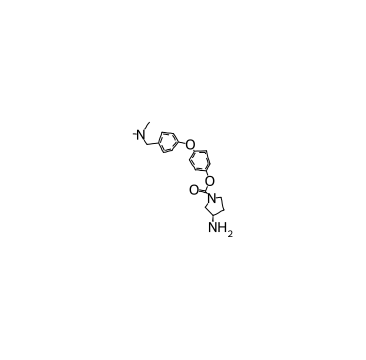 CN(C)Cc1ccc(Oc2ccc(OC(=O)N3CC[C@@H](N)C3)cc2)cc1